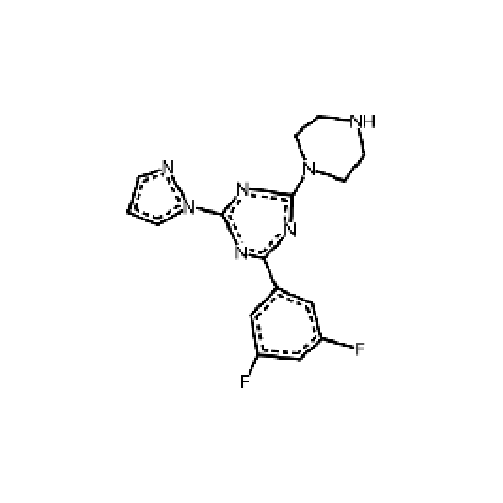 Fc1cc(F)cc(-c2nc(N3CCNCC3)nc(-n3cccn3)n2)c1